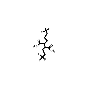 NC(=O)C(CCCC(F)(F)F)C(CCC(F)(F)F)C(N)=O